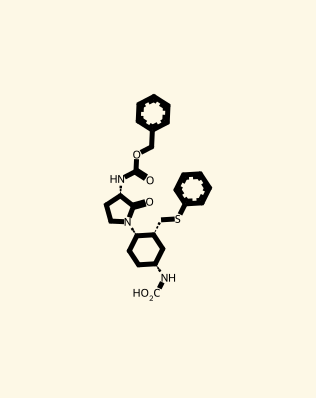 O=C(O)N[C@@H]1CC[C@H](N2CC[C@H](NC(=O)OCc3ccccc3)C2=O)[C@H](CSc2ccccc2)C1